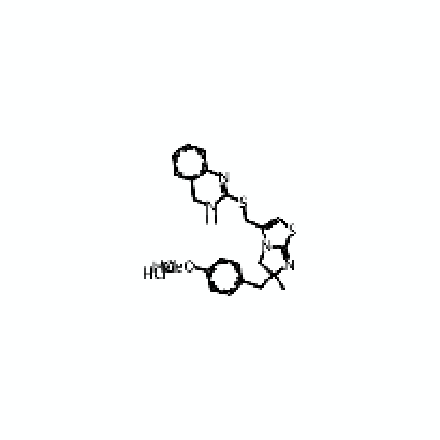 COc1ccc(CC2(C)CN3C(CSC4=Nc5ccccc5CN4)=CSC3=N2)cc1.Cl.Cl